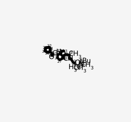 C[C@H](/C=C/C[C@H](C)O[Si](C)(C)C(C)(C)C)[C@H]1CC[C@H]2[C@@H](OC(=O)c3ccccc3)CCC[C@]12C